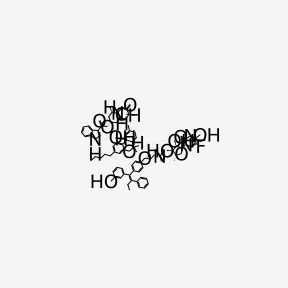 CC/C(=C(/c1ccc(OCCN(C)C)cc1)c1cccc(O)c1)c1ccccc1.CCCCCc1cc(O)c2c(c1)OC(C)(C)[C@@H]1CCC(C)=C[C@@H]21.C[C@H]1O[C@@H](n2cc(F)c(O)nc2=O)[C@H](O)[C@@H]1O.O=C(O[C@H]1C[C@@H]2C[C@@H]3C[C@H](C1)N2CC3=O)c1c[nH]c2ccccc12